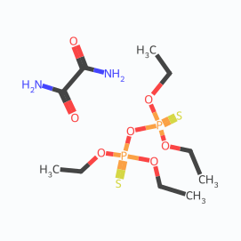 CCOP(=S)(OCC)OP(=S)(OCC)OCC.NC(=O)C(N)=O